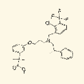 COC(=O)C(C)(C)c1cccc(OCCCN(Cc2cccc(C(F)(F)F)c2Cl)C[C@@H](C)c2ccccc2)c1